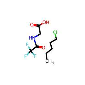 CCCCCCl.O=C(O)CNC(=O)C(F)(F)F